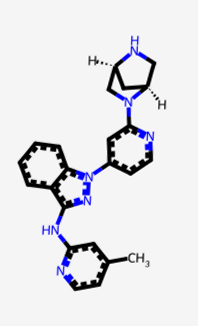 Cc1ccnc(Nc2nn(-c3ccnc(N4C[C@@H]5C[C@H]4CN5)c3)c3ccccc23)c1